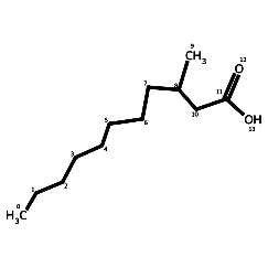 CCCCCCCCC(C)CC(=O)O